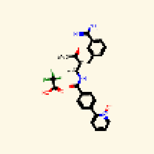 COC(=O)[C@H](Cc1cccc(C(=N)N)c1)[C@@H](C)NC(=O)c1ccc(-c2cccc[n+]2[O-])cc1.O=C(O)C(F)(F)F